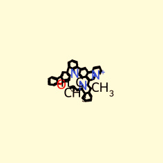 C/C=C\C=C1\c2ccccc2C(C)C(c2c[n+]3ccccc3c3cc4c5cccc6c7cc8c(cc7n(c4cc23)c65)oc2ccccc28)N1C